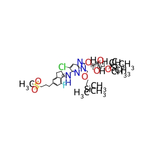 CC(C)(C)[Si](C)(C)OC1CO[C@H]2[C@@H]1OC[C@H]2Oc1nc2cc(Cl)c(N[C@H]3CCc4cc(CCCS(C)(=O)=O)cc(F)c43)nc2n1COCC[Si](C)(C)C